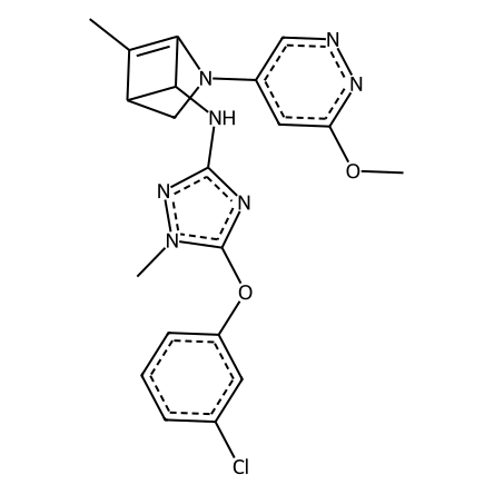 COc1cc(N2CC3C(C)=C2C3Nc2nc(Oc3cccc(Cl)c3)n(C)n2)cnn1